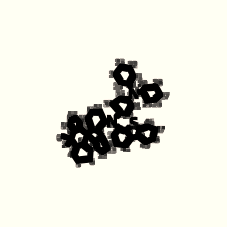 CC1(C)c2ccccc2C2(c3ccccc3-c3c(N(c4ccc(N(c5ccccc5)c5ccccc5)cc4)c4cccc5c4sc4ccccc45)cccc32)c2ccccc21